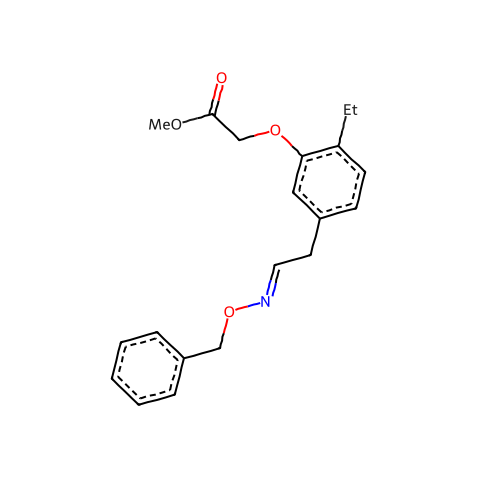 CCc1ccc(CC=NOCc2ccccc2)cc1OCC(=O)OC